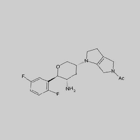 CC(=O)N1CC2=C(C1)N([C@H]1CO[C@H](c3cc(F)ccc3F)[C@@H](N)C1)CC2